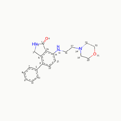 O=C1NCc2c(-c3ccccc3)ccc(NCCN3CCOCC3)c21